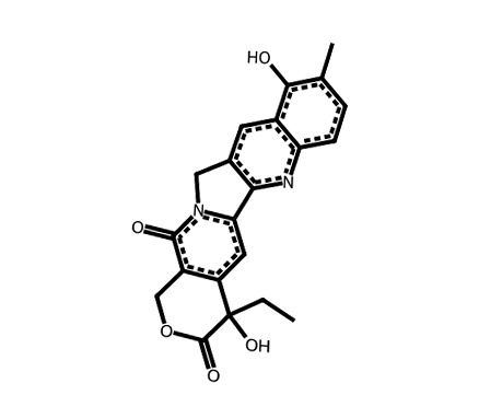 CCC1(O)C(=O)OCc2c1cc1n(c2=O)Cc2cc3c(O)c(C)ccc3nc2-1